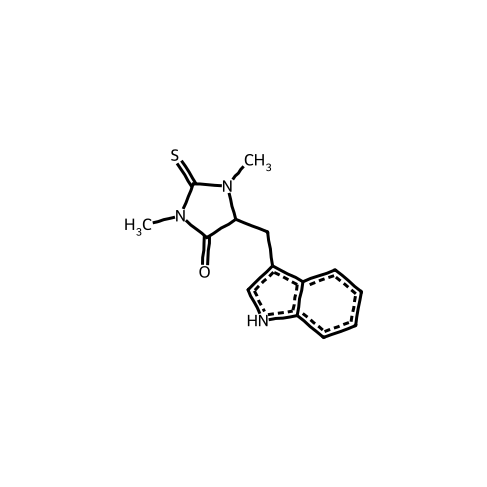 CN1C(=O)C(Cc2c[nH]c3ccccc23)N(C)C1=S